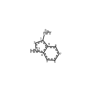 [CH2]CCc1c[nH]c2ccccc12